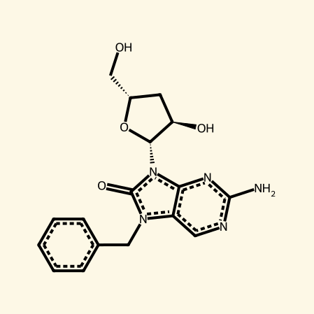 Nc1ncc2c(n1)n([C@@H]1O[C@H](CO)C[C@H]1O)c(=O)n2Cc1ccccc1